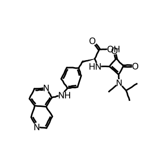 CC(C)N(C)c1c(N[C@@H](Cc2ccc(Nc3nccc4cnccc34)cc2)C(=O)O)c(=O)c1=O